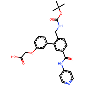 CC(C)(C)OC(=O)NCc1ccc(C(=O)Nc2ccncc2)cc1-c1cccc(OCC(=O)O)c1